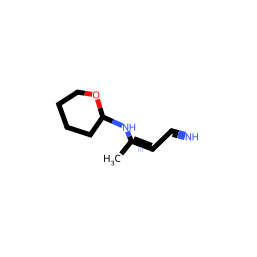 C/C(=C/C=N)NC1CCCCO1